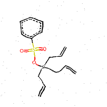 C=CC[Si](CC=C)(CC=C)OS(=O)(=O)c1ccccc1